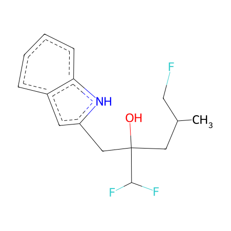 CC(CF)CC(O)(Cc1cc2ccccc2[nH]1)C(F)F